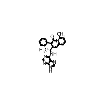 Cc1cccc2cc([C@@H](C)Nc3ncnc4[nH]cnc34)c(-c3ccccc3)c(=O)n12